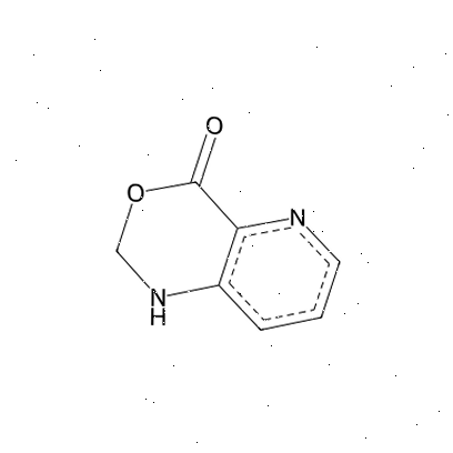 O=C1OCNc2cccnc21